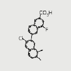 Cc1ccc2cc(Cl)c(-c3ccc4cc(C(=O)O)cc(F)c4c3)cc2c1C